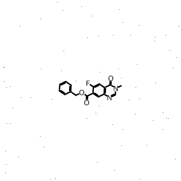 Cn1cnc2cc(C(=O)OCc3ccccc3)c(F)cc2c1=O